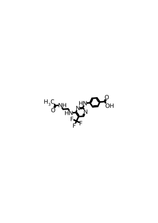 CC(=O)NCCNc1nc(Nc2ccc(C(=O)O)cc2)ncc1C(F)(F)F